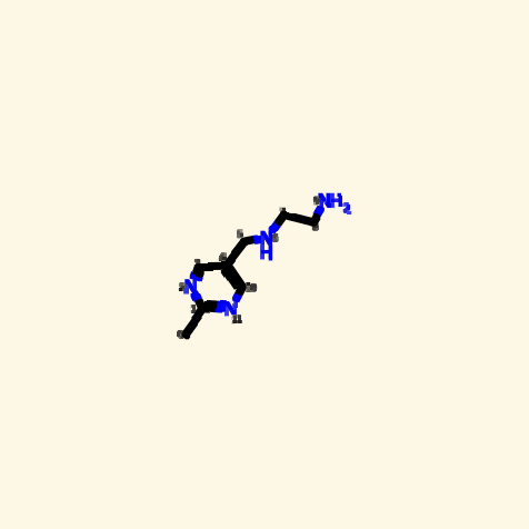 Cc1ncc(CNCCN)cn1